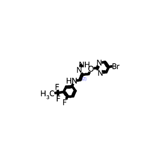 CC(F)(F)c1cc(N/C=C(/COc2ncc(Br)cn2)N=N)ccc1F